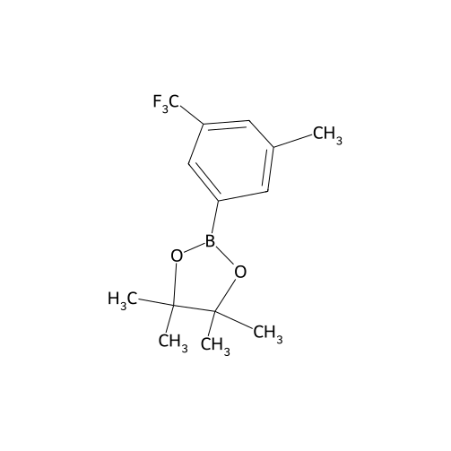 Cc1cc(B2OC(C)(C)C(C)(C)O2)cc(C(F)(F)F)c1